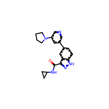 O=C(NC1CC1)c1n[nH]c2ccc(-c3cncc(N4CCCC4)c3)cc12